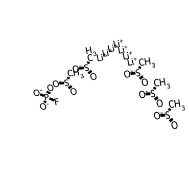 CS(=O)[O-].CS(=O)[O-].CS(=O)[O-].CS(=O)[O-].CS(=O)[O-].O=P([O-])([O-])F.[Li+].[Li+].[Li+].[Li+].[Li+].[Li+].[Li+]